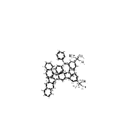 CC(C)(C)c1cc(N(c2ccccc2)c2ccccc2)c2c(c1)c1cc(C(C)(C)C)cc3c4cc5c(cc4n2c31)c1c2ccccc2cc2c3cc4ccccc4cc3n5c21